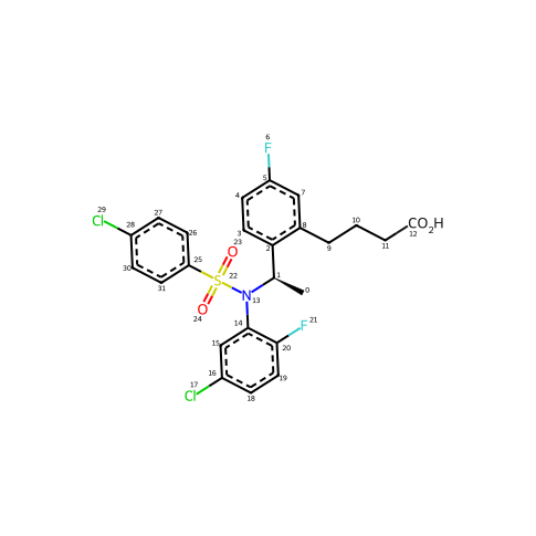 C[C@H](c1ccc(F)cc1CCCC(=O)O)N(c1cc(Cl)ccc1F)S(=O)(=O)c1ccc(Cl)cc1